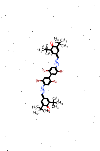 CC(C)(C)C1=CC(=C/N=N/c2cc(Br)c(-c3cc(Br)c(/N=N/C=C4C=C(C(C)(C)C)C(=O)C(C(C)(C)C)=C4)cc3Br)cc2Br)C=C(C(C)(C)C)C1=O